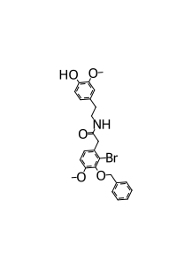 COc1cc(CCNC(=O)Cc2ccc(OC)c(OCc3ccccc3)c2Br)ccc1O